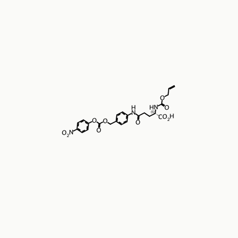 C=CCOC(=O)N[C@@H](CCC(=O)Nc1ccc(COC(=O)Oc2ccc([N+](=O)[O-])cc2)cc1)C(=O)O